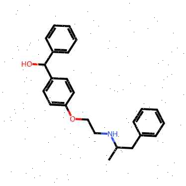 CC(Cc1ccccc1)NCCOc1ccc(C(O)c2ccccc2)cc1